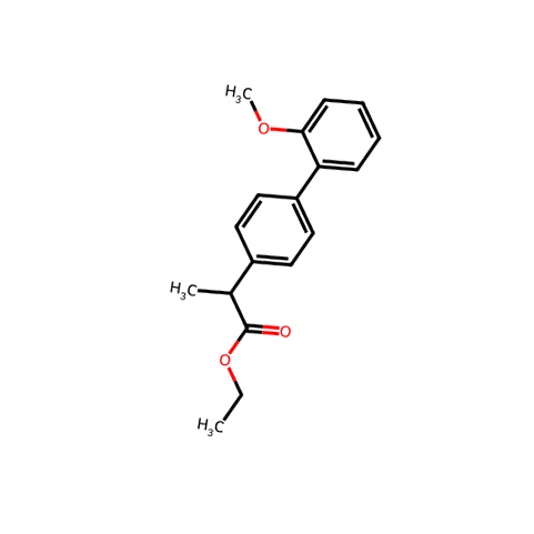 CCOC(=O)C(C)c1ccc(-c2ccccc2OC)cc1